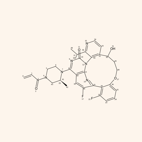 C=CC(=O)N1CCN(c2nc(=O)n3c4nc(c(F)cc24)-c2c(F)cccc2OCCC(O)c2ccnc(C(C)C)c2-3)[C@@H](C)C1